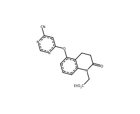 CCOC(=O)CN1C(=O)CCc2c(Oc3cc(C#N)ncn3)cccc21